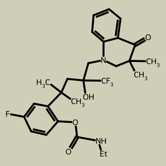 CCNC(=O)Oc1ccc(F)cc1C(C)(C)CC(O)(CN1CC(C)(C)C(=O)c2ccccc21)C(F)(F)F